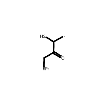 [CH2]C(S)C(=O)CCCC